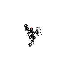 N#Cc1cc(C#N)cc(-c2cc(-n3c4ccccc4c4c(-c5ccc(-c6ccccc6)nc5)cccc43)c(C#N)c(-n3c4ccccc4c4c(-c5ccc(-c6ccccc6)nc5)cccc43)c2)c1